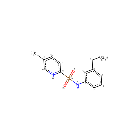 O=C(O)Cc1cccc(NS(=O)(=O)c2ccc(C(F)(F)F)cn2)c1